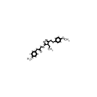 CCC1C(CCc2ccc(OC)cc2)=NN=C1SCC(=O)Cc1ccc(C)cc1